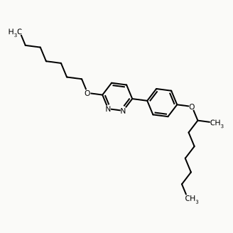 CCCCCCCOc1ccc(-c2ccc(OC(C)CCCCCC)cc2)nn1